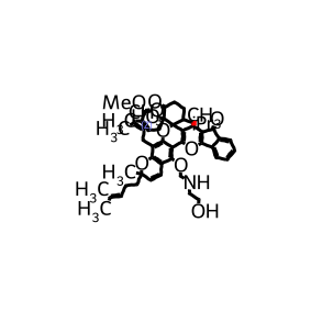 COC(=O)/C(C)=C\CC1(O)C(=O)CCC(C(C)C)C12Oc1c(CC=C(C)C)c3c(c(OCNCCO)c1C1=C2C(C)C2=C(O1)c1ccccc1C2=O)C=CC(C)(CCC=C(C)C)O3